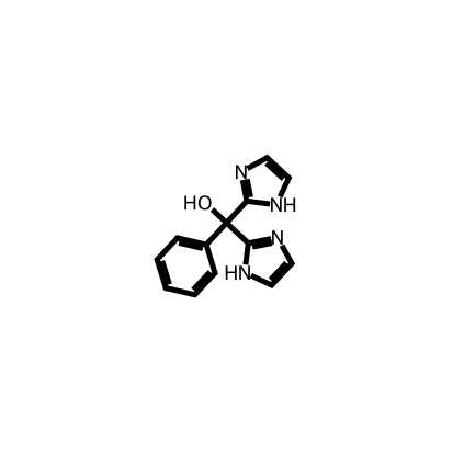 OC(c1ccccc1)(c1ncc[nH]1)c1ncc[nH]1